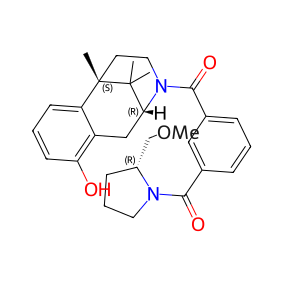 COC[C@H]1CCCN1C(=O)c1cccc(C(=O)N2CC[C@@]3(C)c4cccc(O)c4C[C@@H]2C3(C)C)c1